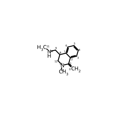 C=C1c2ccccc2C(CNC)CN1C